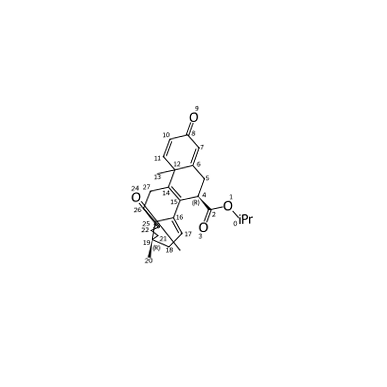 CC(C)OC(=O)[C@@H]1CC2=CC(=O)C=CC2(C)C2=C1C1=CC[C@@]3(C)CCC(=O)C13CC2